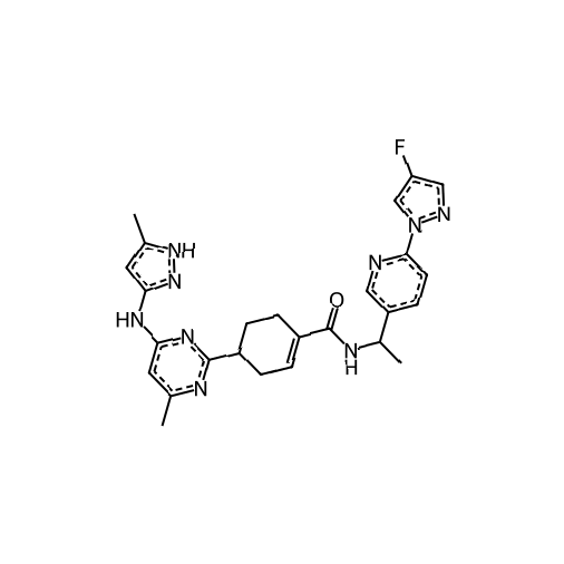 Cc1cc(Nc2cc(C)[nH]n2)nc(C2CC=C(C(=O)NC(C)c3ccc(-n4cc(F)cn4)nc3)CC2)n1